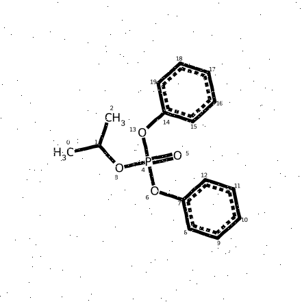 CC(C)OP(=O)(Oc1ccccc1)Oc1ccccc1